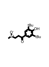 C[S+]([O-])CCC(=O)c1cc(C(C)(C)C)c(O)c(C(C)(C)C)c1